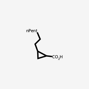 CCCCCCCC1CC1C(=O)O